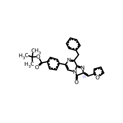 CC(C)(C)OC(=O)c1ccc(C2=CN3C(=O)/C(=C/c4ccco4)N=C3C(Cc3ccccc3)=N2)cc1